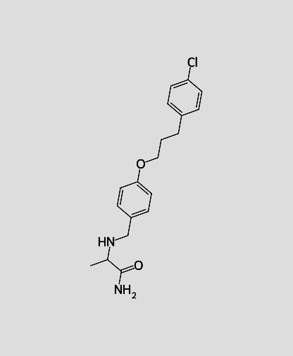 CC(NCc1ccc(OCCCc2ccc(Cl)cc2)cc1)C(N)=O